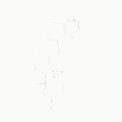 CC1(c2cc(NC(=O)c3ncc(Cl)cc3Cl)ccc2F)N=C(N)OCC12CC2